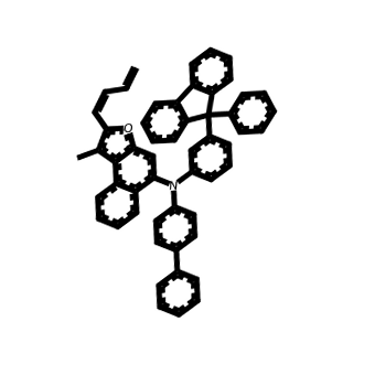 C=C/C=C\c1oc2cc(N(c3ccc(-c4ccccc4)cc3)c3cccc(C4(c5ccccc5)c5ccccc5-c5ccccc54)c3)c3ccccc3c2c1C